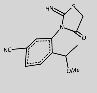 COC(C)c1ccc(C#N)cc1N1C(=N)SCC1=O